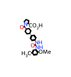 COc1ccc(C)cc1NC(=O)Nc1ccc([C@H]2CC[C@H](C(=O)N3CCCC3C(=O)O)CC2)cc1